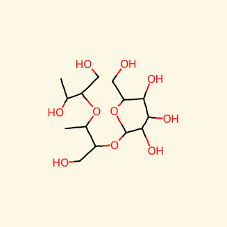 CC(O)C(CO)OC(C)C(CO)OC1OC(CO)C(O)C(O)C1O